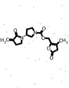 C=C1CCN([C@@H]2CCN(C(=O)OCC3=C(C)CC(=O)O3)C2)C1=O